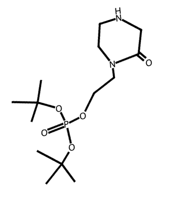 CC(C)(C)OP(=O)(OCCN1CCNCC1=O)OC(C)(C)C